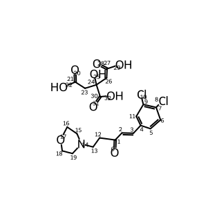 O=C(/C=C/c1ccc(Cl)c(Cl)c1)CCN1CCOCC1.O=C(O)CC(O)(CC(=O)O)C(=O)O